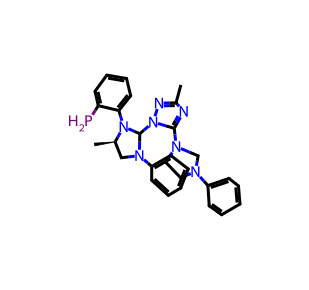 Cc1nc(N2CCN(c3ccccc3)C2)n(C2N(c3ccccc3)C[C@@H](C)N2c2ccccc2P)n1